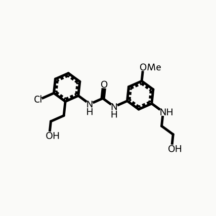 COc1cc(NCCO)cc(NC(=O)Nc2cccc(Cl)c2CCO)c1